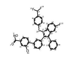 O=NC(=O)c1ccc(-c2cccc(-c3c(-c4ccccc4)c4cc(F)ccc4n3Sc3ccc(C(F)F)cc3)c2)c(Cl)c1